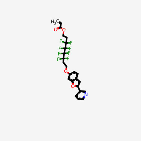 C=CC(=O)OCCC(F)(F)C(F)(F)C(F)(F)C(F)(F)CCOc1ccc2cc(-c3cccnc3)oc2c1